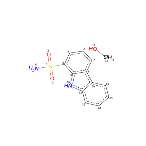 NS(=O)(=O)c1cccc2c1[nH]c1ccccc12.O[SiH3]